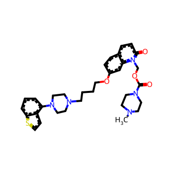 CN1CCN(C(=O)OCn2c(=O)ccc3ccc(OCCCCN4CCN(c5cccc6sccc56)CC4)cc32)CC1